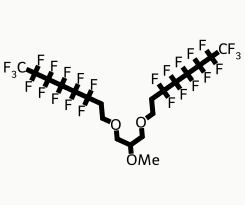 COC(COCCC(F)(F)C(F)(F)C(F)(F)C(F)(F)C(F)(F)C(F)(F)F)COCCC(F)(F)C(F)(F)C(F)(F)C(F)(F)C(F)(F)C(F)(F)F